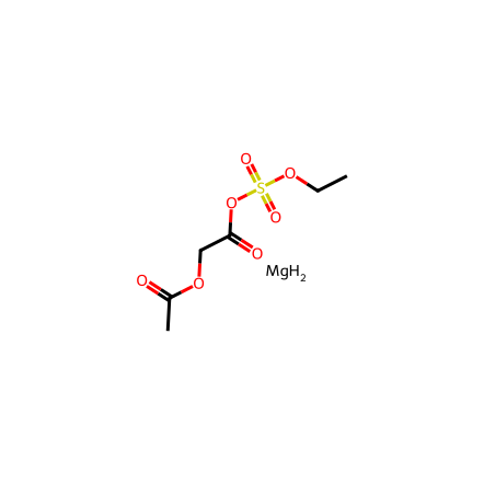 CCOS(=O)(=O)OC(=O)COC(C)=O.[MgH2]